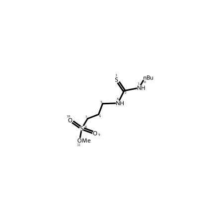 CCCCNC(=S)NCCCS(=O)(=O)OC